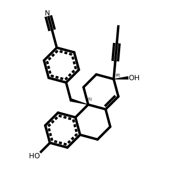 CC#C[C@]1(O)C=C2CCc3cc(O)ccc3[C@]2(Cc2ccc(C#N)cc2)CC1